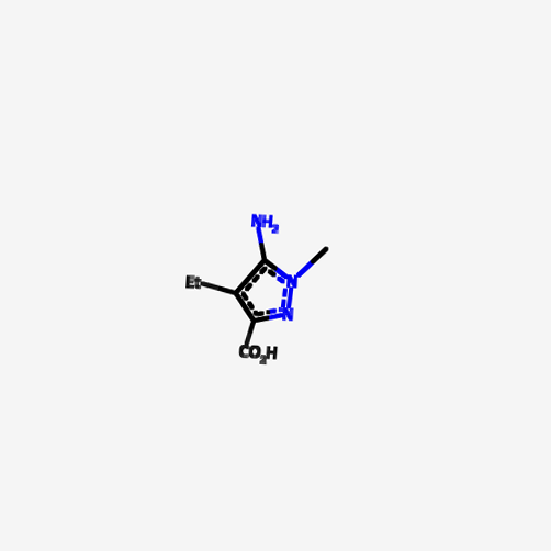 CCc1c(C(=O)O)nn(C)c1N